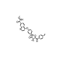 CONC(=O)c1ccc2c(Oc3ccc(NC(=O)C4(C(=O)Nc5ccc(F)cc5)CC4)cc3)ccnc2c1